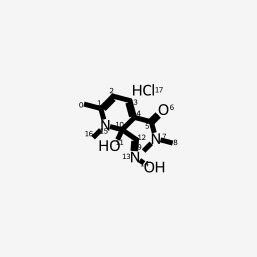 CC1=CC=C(C(=O)N(C)C)C(O)(C=NO)N1C.Cl